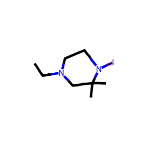 CCN1CCN(I)C(C)(C)C1